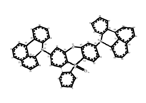 O=P1(c2ccccc2)c2ccc(N3c4ccccc4-c4cccc5cccc3c45)cc2Oc2cc(N3c4ccccc4-c4cccc5cccc3c45)ccc21